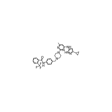 Cc1cc(Nc2cc(C3CC3)n[nH]2)nc(N2CCN(Cc3ccc(NC(=O)c4ccccc4C(F)(F)F)cc3)CC2)n1